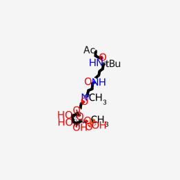 CC(=O)CCC(=O)N[C@@H](CCCCNC(=O)CC/C(C)=N/OCCO[C@H]1O[C@H](COP(C)(=O)O)[C@@H](O)[C@H](O)[C@@H]1O)C(C)(C)C